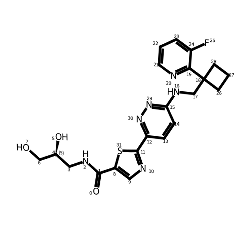 O=C(NC[C@H](O)CO)c1cnc(-c2ccc(NCC3(c4ncccc4F)CCC3)nn2)s1